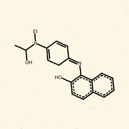 CCN(C1=CC/C(=N\c2c(O)ccc3ccccc23)C=C1)C(C)O